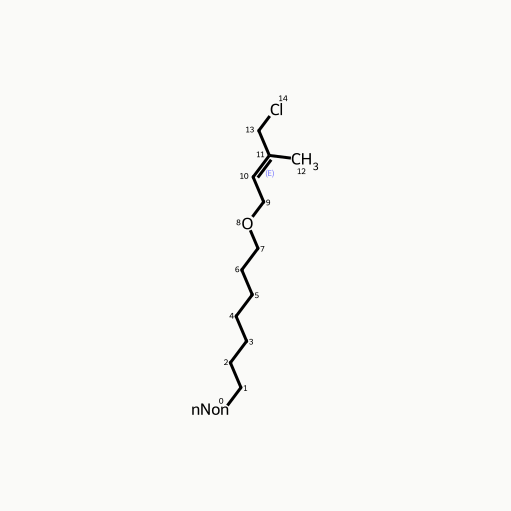 CCCCCCCCCCCCCCCCOC/C=C(\C)CCl